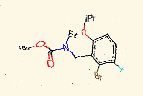 [CH2]C(C)Oc1ccc(F)c(Br)c1CN(CC)C(=O)OC(C)(C)C